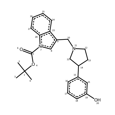 CC(C)(C)OC(=O)n1cc(CN2CCC(c3cccc(O)c3)C2)c2ccccc21